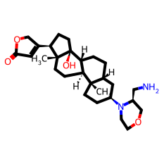 C[C@]12CC[C@H](N3CCOC[C@@H]3CN)C[C@H]1CC[C@@H]1[C@@H]2CC[C@]2(C)[C@@H](C3=CC(=O)OC3)CC[C@]12O